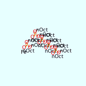 CCCCCCCCOP(OCCCCCCCC)OCCCCCCCC.CCCCCCCCOP(OCCCCCCCC)OCCCCCCCC.CCCCCCCCOP(OCCCCCCCC)OCCCCCCCC.CCCCCCCCOP(OCCCCCCCC)OCCCCCCCC.CCCCCCCCOP(OCCCCCCCC)OCCCCCCCC.[Fe]